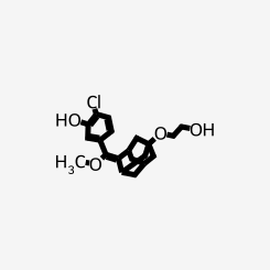 COC(=C1C2CC3CC1CC(OCCO)(C3)C2)c1ccc(Cl)c(O)c1